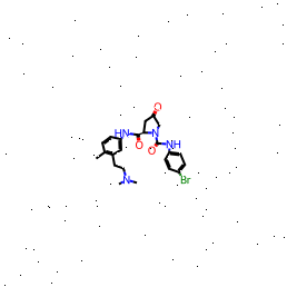 Cc1ccc(NC(=O)[C@H]2CC(=O)CN2C(=O)Nc2ccc(Br)cc2)cc1CCN(C)C